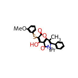 COc1cccc(Sc2c(O)c3c(=O)n(C(C)C)c(-c4ccccc4)c(C)c3oc2=O)c1